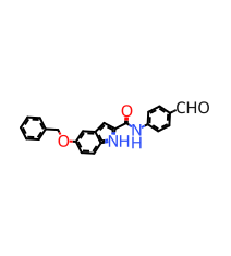 O=Cc1ccc(NC(=O)c2cc3cc(OCc4ccccc4)ccc3[nH]2)cc1